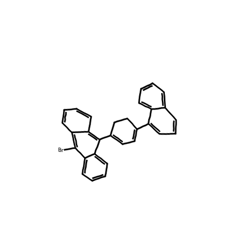 Brc1c2ccccc2c(C2=CC=C(c3cccc4ccccc34)CC2)c2ccccc12